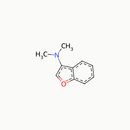 CN(C)c1coc2ccccc12